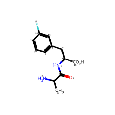 CC(N)C(=O)N[C@@H](Cc1cccc(F)c1)C(=O)O